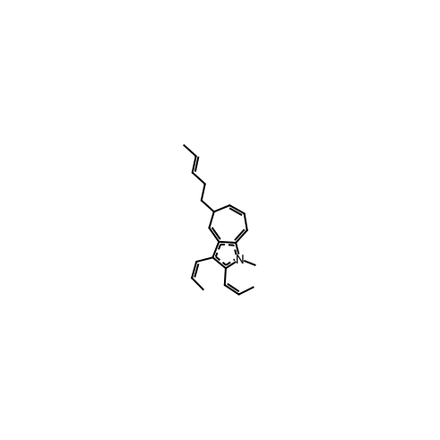 C/C=C\c1c(/C=C\C)n(C)c2c1=CC(CC/C=C/C)C=CC=2